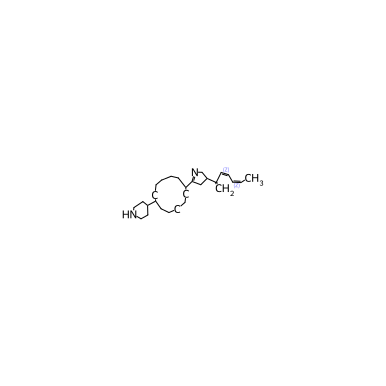 C=C(/C=C\C=C/C)C1CN=C(C2CCCCCC(C3CCNCC3)CCCCC2)C1